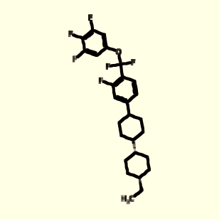 CC[C@H]1CC[C@H](C2CCC(c3ccc(C(F)(F)Oc4cc(F)c(F)c(F)c4)c(F)c3)CC2)CC1